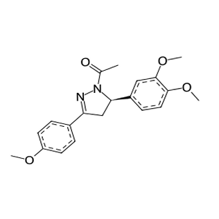 COc1ccc(C2=NN(C(C)=O)[C@@H](c3ccc(OC)c(OC)c3)C2)cc1